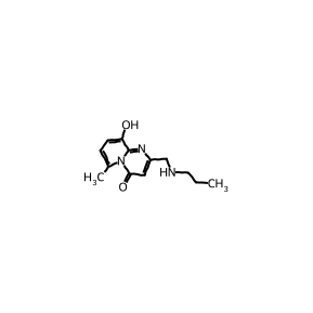 CCCNCc1cc(=O)n2c(C)ccc(O)c2n1